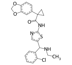 CCNC(c1cnc(NC(=O)C2(c3ccc4c(c3)OCO4)CC2)s1)c1ccccc1Cl